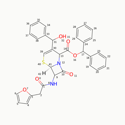 O=C(Cc1ccco1)NC1C(=O)N2C(C(=O)OC(c3ccccc3)c3ccccc3)C(C(O)c3ccccc3)=CS[C@H]12